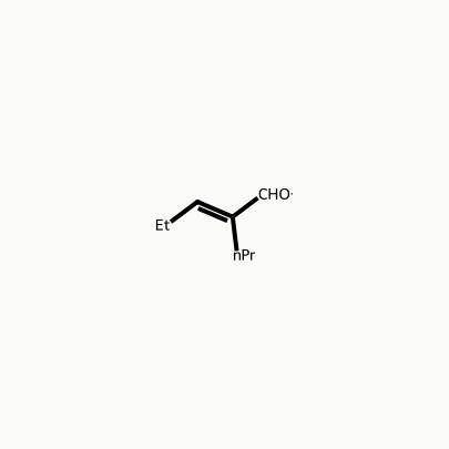 CCC=C([C]=O)CCC